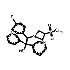 CS(=O)(=O)C1CN(C(c2ccc(F)cc2)C(O)(c2cccnc2)c2cccnc2)C1